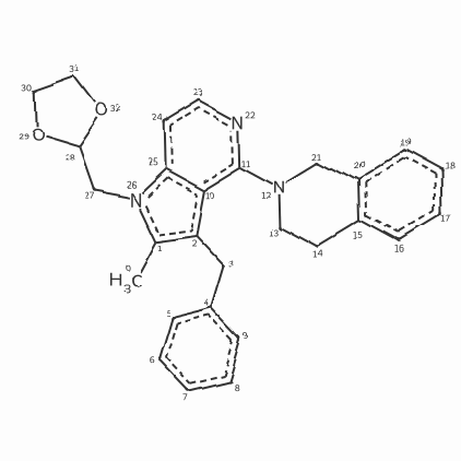 Cc1c(Cc2ccccc2)c2c(N3CCc4ccccc4C3)nccc2n1CC1OCCO1